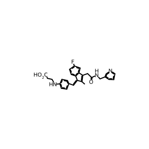 CC1=C(CC(=O)NCc2cccnc2)c2cc(F)ccc2C1=Cc1ccc(NCCC(=O)O)cc1